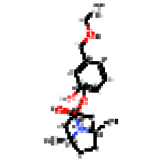 CC(C)(C)OC(=O)N1[C@@H]2CC[C@H]1C[C@@H](Oc1cccc(COCC(F)(F)F)c1)C2